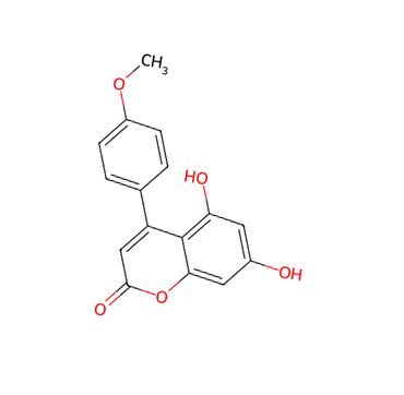 COc1ccc(-c2cc(=O)oc3cc(O)cc(O)c23)cc1